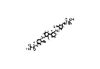 Cc1c(COc2ccc(CNC(=O)C(=O)O)cc2Br)cccc1-c1cccc(COc2ccc(CNC(=O)C(=O)O)cc2Br)c1C